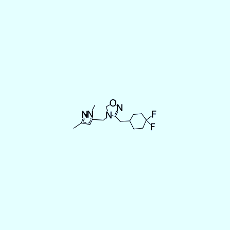 Cc1cc(CN2CON=C2CC2CCC(F)(F)CC2)n(C)n1